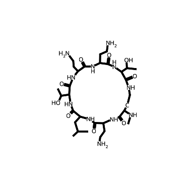 CNC1CCNC(=O)C(C(C)O)NC(=O)C(CCN)NC(=O)C(CCN)NC(=O)C(C(C)O)NC(=O)C(CC(C)C)NC(=O)C(CCN)NC1=O